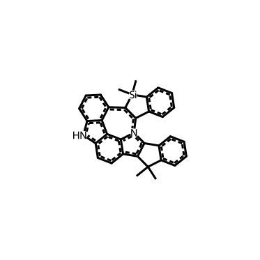 CC1(C)c2ccccc2-c2c1c1ccc3[nH]c4cccc5c6c(n2c1c3c45)-c1ccccc1[Si]6(C)C